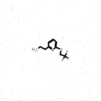 [CH2]CCc1cccc(OCC(F)(F)F)n1